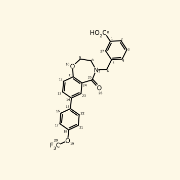 O=C(O)c1cccc(CN2CCOc3ccc(-c4ccc(OC(F)(F)F)cc4)cc3C2=O)c1